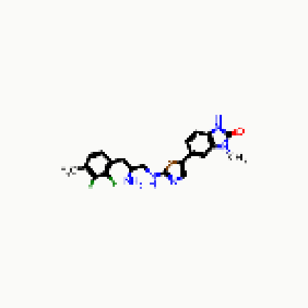 Cn1c(=O)[nH]c2ccc(-c3cnc(NCC(N)Cc4ccc(C(F)(F)F)c(F)c4F)s3)cc21